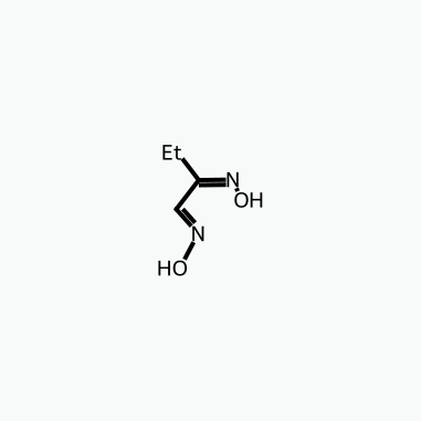 CCC(C=NO)=NO